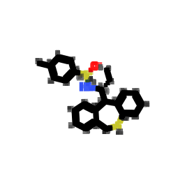 CC[C@@H](N[S@@+]([O-])c1ccc(C)cc1)C1c2ccccc2CSc2ccccc21